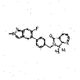 [2H]C1([2H])c2ncccc2C(=O)N1Cc1ccc(-c2cc3cn(C)nc3cc2F)cc1